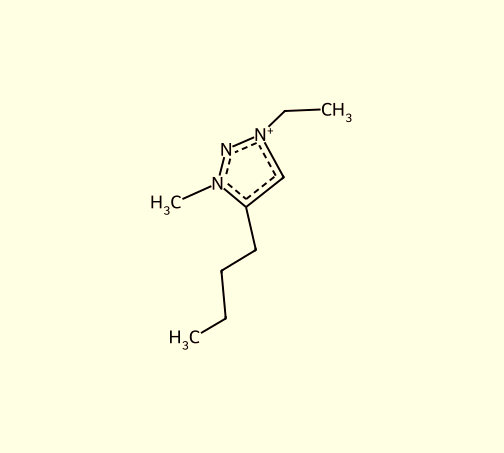 CCCCc1c[n+](CC)nn1C